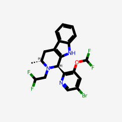 C[C@@H]1Cc2c([nH]c3ccccc23)[C@@H](c2ncc(Br)cc2OC(F)F)N1CC(F)F